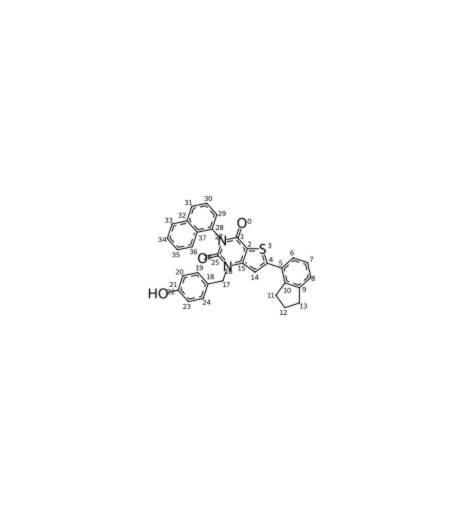 O=c1c2sc(-c3cccc4c3CCC4)cc2n(Cc2ccc(O)cc2)c(=O)n1-c1cccc2ccccc12